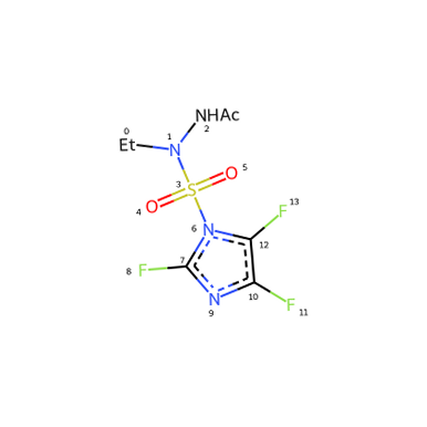 CCN(NC(C)=O)S(=O)(=O)n1c(F)nc(F)c1F